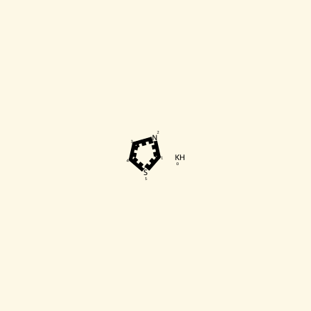 [KH].[c]1nccs1